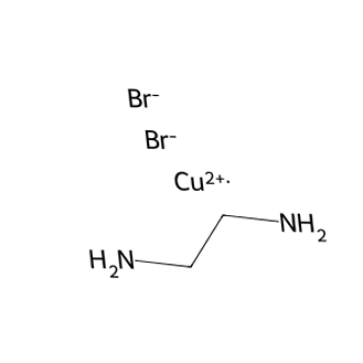 NCCN.[Br-].[Br-].[Cu+2]